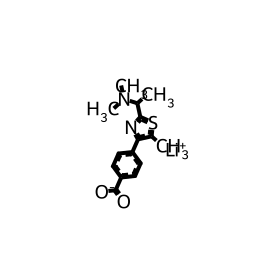 Cc1sc(C(C)N(C)C)nc1-c1ccc(C(=O)[O-])cc1.[Li+]